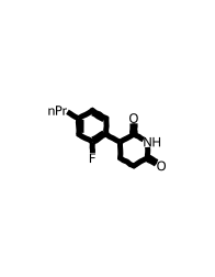 CCCc1ccc(C2CCC(=O)NC2=O)c(F)c1